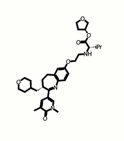 Cc1cc(C2=Nc3ccc(OCCN[C@H](C(=O)O[C@H]4CCOC4)C(C)C)cc3CC[C@H]2CC2CCOCC2)cn(C)c1=O